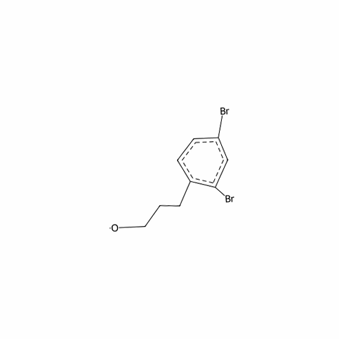 [O]CCCc1ccc(Br)cc1Br